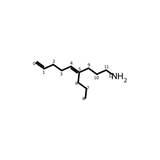 C=CCC/C=C(\CCC)CCCN